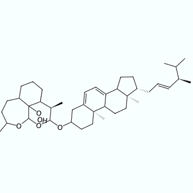 CC1CCC2CCCC3[C@@H](C)C(OC4CC[C@@]5(C)C(=CC=C6C5CC[C@@]5(C)C6CC[C@@H]5C/C=C/[C@H](C)C(C)C)C4)OC(O1)C23OO